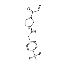 C=CC(=O)N1CC[C@H](NCc2ccc(C(F)(F)F)cc2)C1